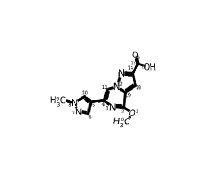 COc1nc(-c2cnn(C)c2)cn2nc(C(=O)O)cc12